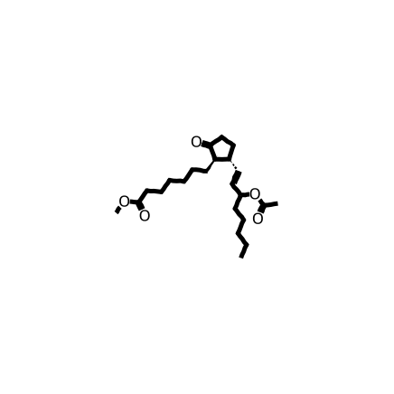 CCCCCC(C=C[C@H]1CCC(=O)[C@@H]1CCCCCCC(=O)OC)OC(C)=O